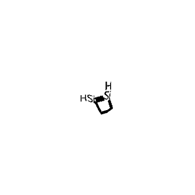 C1C[SiH]=[SiH]1